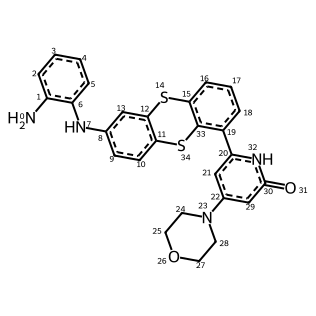 Nc1ccccc1Nc1ccc2c(c1)Sc1cccc(-c3cc(N4CCOCC4)cc(=O)[nH]3)c1S2